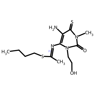 CCCCS/C(C)=N/c1c(N)c(=S)n(C)c(=O)n1CCO